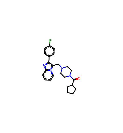 O=C(C1CCCC1)N1CCN(Cc2c(-c3ccc(Br)cc3)nc3ccccn23)CC1